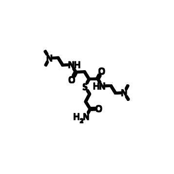 CN(C)CCNC(=O)CC(SCCC(N)=O)C(=O)NCCN(C)C